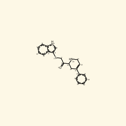 O=C(CSc1c[nH]c2ccccc12)C1CC(c2ccccc2)=CCN1